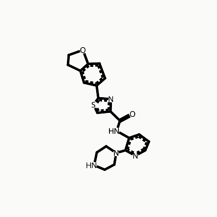 O=C(Nc1cccnc1N1CCNCC1)c1csc(-c2ccc3c(c2)CCO3)n1